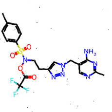 Cc1ccc(S(=O)(=O)N(CCc2cn(Cc3cnc(C)nc3N)nn2)OC(=O)C(F)(F)F)cc1